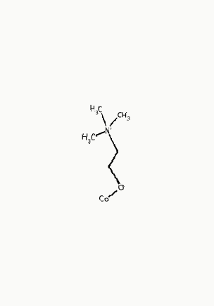 C[N+](C)(C)CC[O][Co]